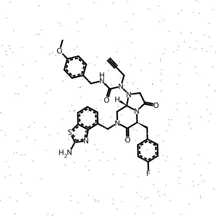 C#CCN(C(=O)NCc1ccc(OC)cc1)N1CC(=O)N2[C@@H](Cc3ccc(F)cc3)C(=O)N(Cc3cccc4sc(N)nc34)C[C@@H]21